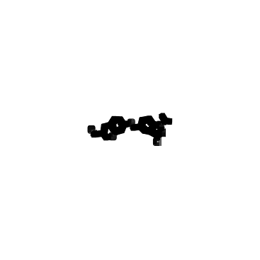 CC(C)n1nc(Cl)c2cc(COc3ccc4c(c3)OCC(C=O)=C4)ccc21